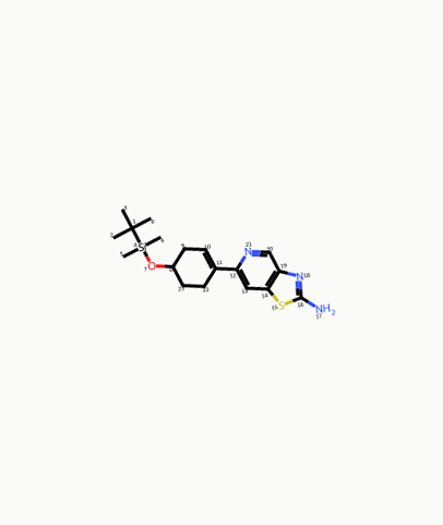 CC(C)(C)[Si](C)(C)OC1CC=C(c2cc3sc(N)nc3cn2)CC1